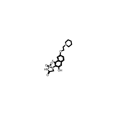 O=C1CN(c2c(O)cc3ccc(OCCN4CCCCC4)cc3c2F)S(=O)(=O)N1